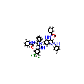 Cc1ccc(Nc2cc(NC(=O)C3CCCCC3)c3ccccc3n2)cc1.O=C(Nc1cc(Nc2ccc(Cl)c(Cl)c2)nc2ccccc12)C1CCCCC1